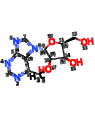 Cc1ncnc2ncn([C@@H]3O[C@@H](CO)[C@@H](O)[C@H]3O)c12